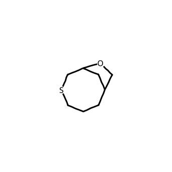 C1CSCC2CC(C1)CO2